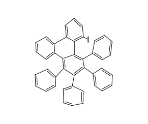 Ic1cccc2c3ccccc3c3c(-c4ccccc4)c(-c4ccccc4)c(-c4ccccc4)c(-c4ccccc4)c3c12